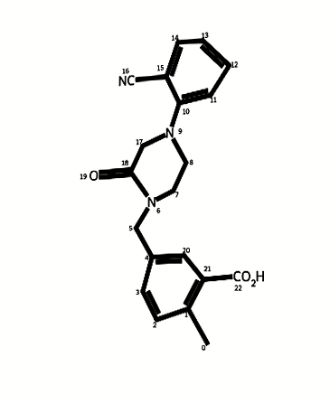 Cc1ccc(CN2CCN(c3ccccc3C#N)CC2=O)cc1C(=O)O